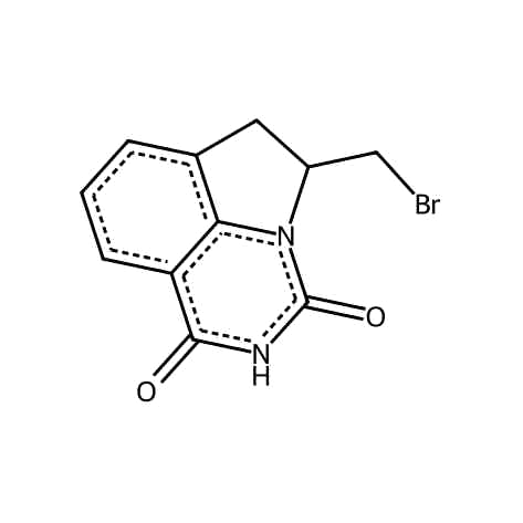 O=c1[nH]c(=O)n2c3c(cccc13)CC2CBr